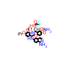 CCOc1cc(C(Nc2ccc3c(N)nccc3c2)C(=O)NC(C)c2cccc(S(N)(=O)=O)c2)ccc1OC(C)C.O=C(O)C(F)(F)F